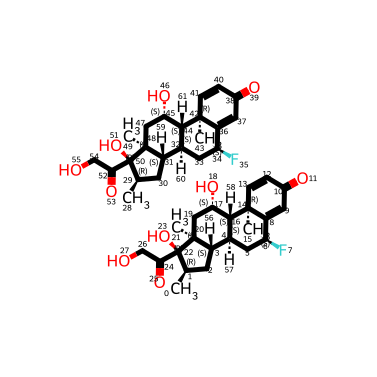 C[C@@H]1C[C@H]2[C@@H]3C[C@H](F)C4=CC(=O)C=C[C@]4(C)[C@H]3[C@@H](O)C[C@]2(C)[C@@]1(O)C(=O)CO.C[C@@H]1C[C@H]2[C@@H]3C[C@H](F)C4=CC(=O)C=C[C@]4(C)[C@H]3[C@@H](O)C[C@]2(C)[C@@]1(O)C(=O)CO